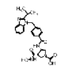 CC(C)c1nc2ccccc2n1Cc1ccc(C(=O)N[C@@H]2CN(C(=O)O)C[C@@H]2C(=O)NO)cc1